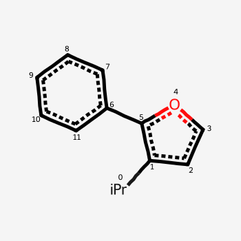 CC(C)c1ccoc1-c1ccccc1